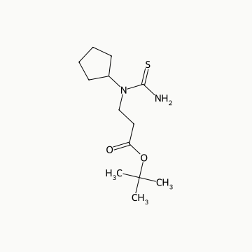 CC(C)(C)OC(=O)CCN(C(N)=S)C1CCCC1